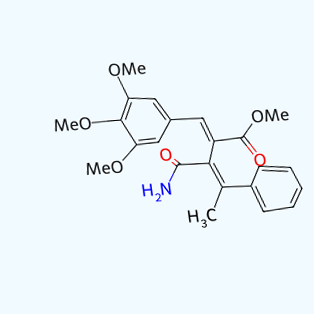 COC(=O)C(=C/c1cc(OC)c(OC)c(OC)c1)/C(C(N)=O)=C(/C)c1ccccc1